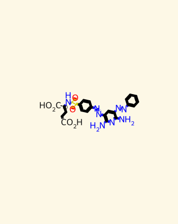 Nc1nc(N)c(/N=N/c2ccc(S(=O)(=O)N[C@H](CCC(=O)O)C(=O)O)cc2)cc1/N=N/c1ccccc1